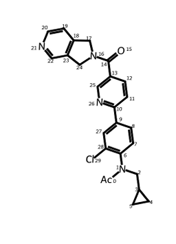 CC(=O)N(CC1CC1)c1ccc(-c2ccc(C(=O)N3Cc4ccncc4C3)cn2)cc1Cl